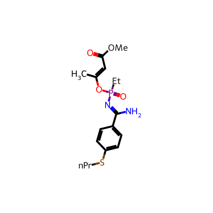 CCCSc1ccc(C(N)=NP(=O)(CC)OC(C)=CC(=O)OC)cc1